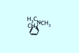 C.CN(C)c1ccccc1